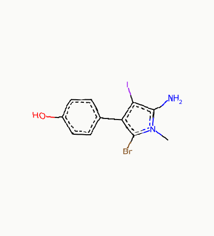 Cn1c(N)c(I)c(-c2ccc(O)cc2)c1Br